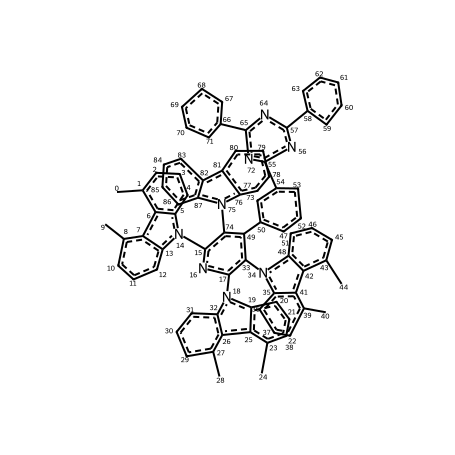 Cc1cccc2c1c1c(C)cccc1n2-c1nc(-n2c3cccc(C)c3c3c(C)cccc32)c(-n2c3cccc(C)c3c3c(C)cccc32)c(-c2cccc(-c3nc(-c4ccccc4)nc(-c4ccccc4)n3)c2)c1-n1c2ccccc2c2ccccc21